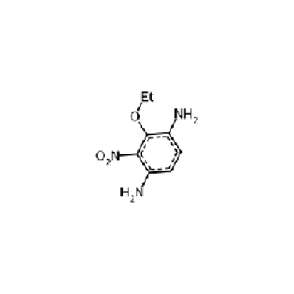 CCOc1c(N)ccc(N)c1[N+](=O)[O-]